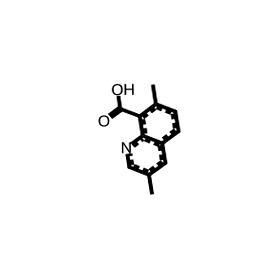 Cc1cnc2c(C(=O)O)c(C)ccc2c1